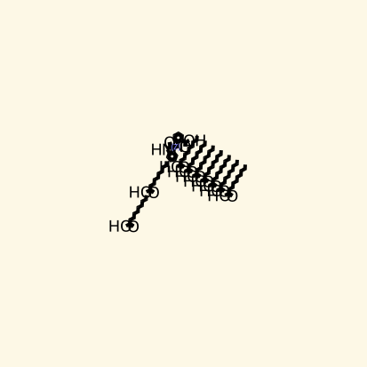 CCCCCCCCCC(=O)O.CCCCCCCCCC(=O)O.CCCCCCCCCC(=O)O.CCCCCCCCCC(=O)O.CCCCCCCCCC(=O)O.CCCCCCCCCC(=O)O.CCCCCCCCCC(=O)O.CCCCCCCCCC(=O)O.CCCCCCCCCC(=O)O.O=C1Nc2ccccc2/C1=N/c1ccccc1C(=O)O